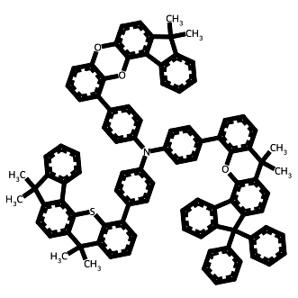 CC1(C)c2cccc(-c3ccc(N(c4ccc(-c5cccc6c5Oc5c(ccc7c5-c5ccccc5C7(C)C)O6)cc4)c4ccc(-c5cccc6c5Sc5c(ccc7c5-c5ccccc5C7(C)C)C6(C)C)cc4)cc3)c2Oc2c1ccc1c2-c2ccccc2C1(c1ccccc1)c1ccccc1